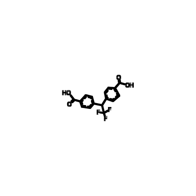 O=C(O)c1ccc(C(c2ccc(C(=O)O)cc2)C(F)(F)F)cc1